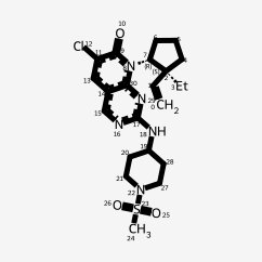 C=C[C@]1(CC)CCC[C@H]1n1c(=O)c(Cl)cc2cnc(NC3CCN(S(C)(=O)=O)CC3)nc21